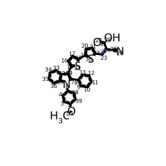 COc1ccc(-n2c(-c3ccccc3)c(-c3ccc(-c4ccc(/C=C(/C#N)C(=O)O)s4)s3)c3ccccc32)cc1